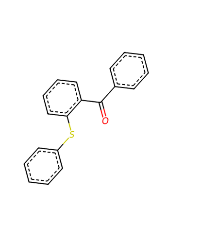 O=C(c1ccccc1)c1ccccc1Sc1ccccc1